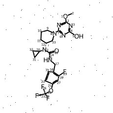 COc1nc(O)nc(N2CCC[C@@H](N(C(=O)NCc3ccc(OC(F)(F)F)cc3F)C3CC3)C2)n1